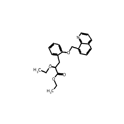 CCOC(=O)C(Cc1ccccc1OCc1cccc2cccnc12)OCC